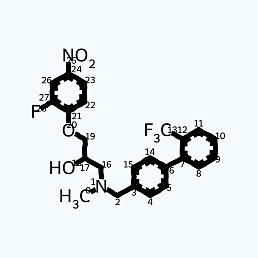 CN(Cc1ccc(-c2ccccc2C(F)(F)F)cc1)CC(O)COc1ccc([N+](=O)[O-])cc1F